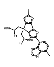 CCCCC(CC)C[Si]1(CC(CC)CCCC)c2cc(C)sc2-c2sc(-c3ccc(C)c4nsnc34)cc21